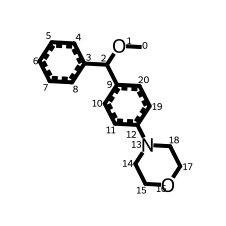 COC(c1ccccc1)c1ccc(N2CCOCC2)cc1